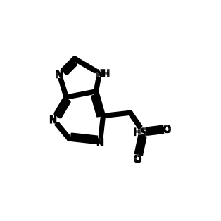 O=[SH](=O)Cc1ncnc2nc[nH]c12